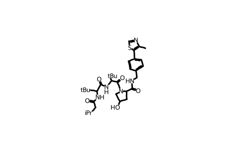 Cc1ncsc1-c1ccc(CNC(=O)C2CC(O)CN2C(=O)C(NC(=O)C(NC(=O)CC(C)C)C(C)(C)C)C(C)(C)C)cc1